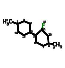 CC1CCC(C2CCC(C)CC2F)CC1